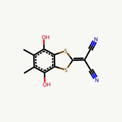 Cc1c(C)c(O)c2c(c1O)SC(=C(C#N)C#N)S2